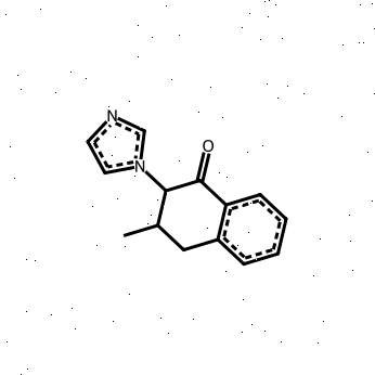 CC1Cc2ccccc2C(=O)C1n1ccnc1